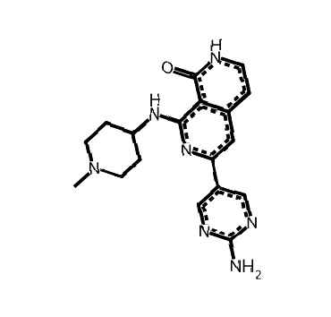 CN1CCC(Nc2nc(-c3cnc(N)nc3)cc3cc[nH]c(=O)c23)CC1